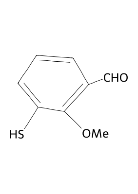 COc1c(S)cccc1C=O